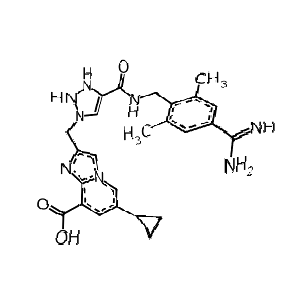 Cc1cc(C(=N)N)cc(C)c1CNC(=O)C1=CN(Cc2cn3cc(C4CC4)cc(C(=O)O)c3n2)NN1